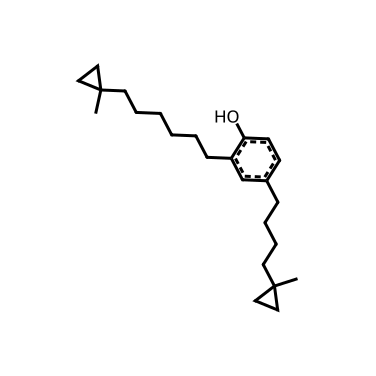 CC1(CCCCCCc2cc(CCCCC3(C)CC3)ccc2O)CC1